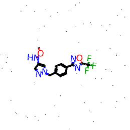 CONc1cnn(Cc2ccc(-c3noc(C(F)(F)F)n3)cc2)c1